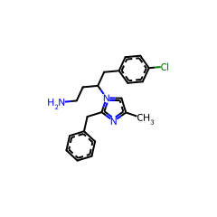 Cc1cn(C(CCN)Cc2ccc(Cl)cc2)c(Cc2ccccc2)n1